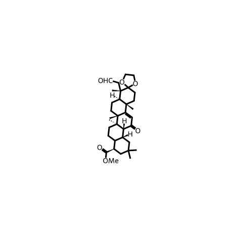 COC(=O)[C@@H]1CC(C)(C)C[C@@H]2C1CC[C@]1(C)[C@@H]2C(=O)C=C2[C@@]3(C)CCC4(OCCO4)[C@@](C)(CC=O)[C@@H]3CC[C@]21C